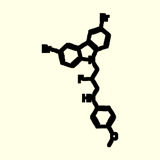 COc1ccc(NCC(F)Cn2c3ccc(Br)cc3c3cc(Br)ccc32)cc1